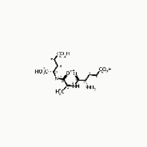 C[C@H](NC(=O)[C@@H](N)CCC(=O)O)C(=O)N[C@@H](CCC(=O)O)C(=O)O